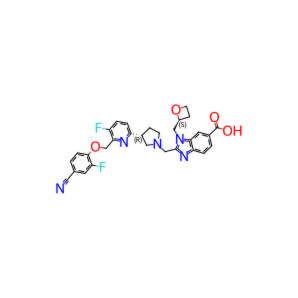 N#Cc1ccc(OCc2nc([C@@H]3CCN(Cc4nc5ccc(C(=O)O)cc5n4C[C@@H]4CCO4)C3)ccc2F)c(F)c1